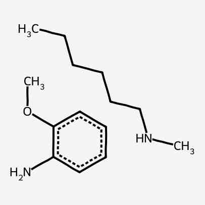 CCCCCCNC.COc1ccccc1N